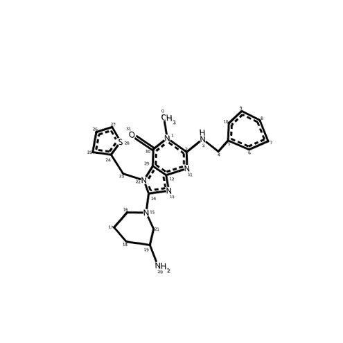 Cn1c(NCc2ccccc2)nc2nc(N3CCCC(N)C3)n(Cc3cccs3)c2c1=O